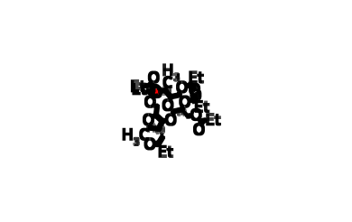 CCC(=O)C[C@H]1C(OC(OC(COC(=O)CC)[C@H](C)OC(=O)CC)[C@H](COC(=O)CC)OC(=O)CC)C(COC(=O)CC)O[C@H]1C